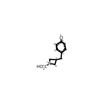 O=C(O)N1CC(Cc2ccc(Cl)cc2)C1